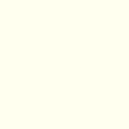 O=S(=O)(OCCOS(=O)(=O)c1ccc2ccccc2c1)c1ccc2ccccc2c1